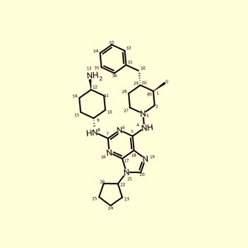 C[C@H]1CN(Nc2nc(N[C@H]3CC[C@H](N)CC3)nc3c2ncn3C2CCCC2)CC[C@@H]1Cc1ccccc1